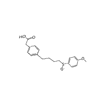 COc1ccc([S+]([O-])CCCCc2ccc(CC(=O)O)cc2)cc1